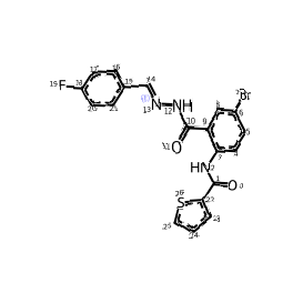 O=C(Nc1ccc(Br)cc1C(=O)N/N=C/c1ccc(F)cc1)c1cccs1